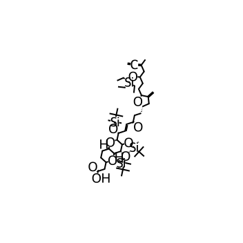 C=C=C(C)CC(CCC1O[C@@H](CCC(=O)/C=C/[C@H](O[Si](C)(C)C(C)(C)C)[C@@H]2O[C@H]3CCC(CC(=O)O)O[C@@H]3C(O[Si](C)(C)C(C)(C)C)C2O[Si](C)(C)C(C)(C)C)CC1=C)O[Si](CC)(CC)CC